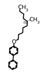 CCCC[C@H](C)CCCCCOc1ccc(-c2ccccc2)cc1